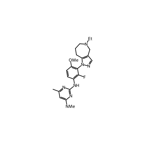 CCN1CCCc2c(cnn2-c2c(OC)ccc(Nc3nc(C)cc(NC)n3)c2F)C1